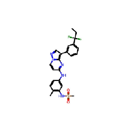 CCC(F)(F)c1cccc(-c2cnn3ccc(Nc4ccc(C)c(NS(C)(=O)=O)c4)nc23)c1